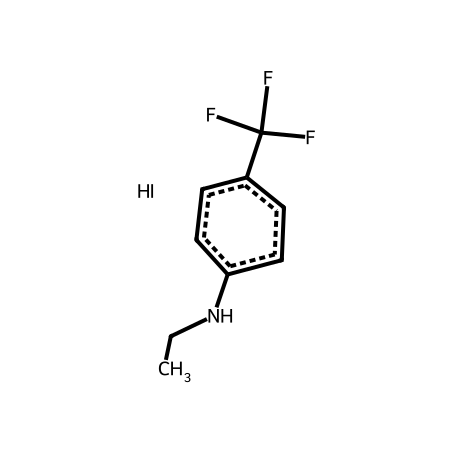 CCNc1ccc(C(F)(F)F)cc1.I